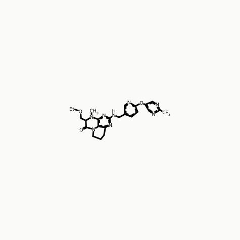 CCOCC1C(=O)N2CCCc3nc(NCc4ccc(Oc5cnc(C(F)(F)F)nc5)nc4)nc(c32)N1C